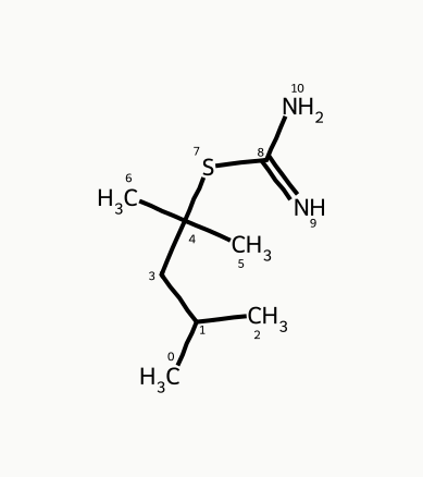 CC(C)CC(C)(C)SC(=N)N